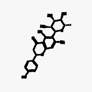 C[C@@H]1O[C@@H](c2c(O)cc3c(c2O)C(=O)CC(c2ccc(O)cc2)O3)[C@H](O)[C@H](O)[C@H]1O